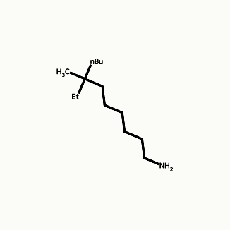 CCCCC(C)(CC)CCCCCCN